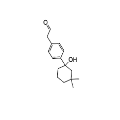 CC1(C)CCCC(O)(c2ccc(CC=O)cc2)C1